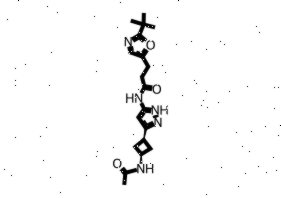 CC(=O)N[C@H]1C[C@@H](c2cc(NC(=O)CCc3cnc(C(C)(C)C)o3)[nH]n2)C1